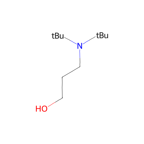 CC(C)(C)N(CCCO)C(C)(C)C